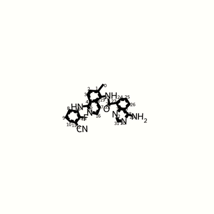 Cc1ccc2c(Nc3cccc(C#N)c3F)nccc2c1NC(=O)c1cccc2c(N)ncnc12